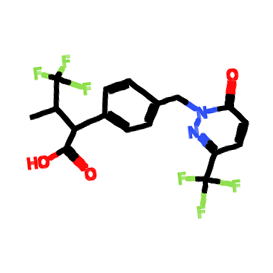 CC(C(C(=O)O)c1ccc(Cn2nc(C(F)(F)F)ccc2=O)cc1)C(F)(F)F